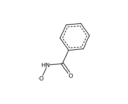 [O]NC(=O)c1ccccc1